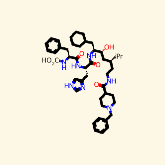 CC(C)[C@@H](CCNC(=O)C1CCN(Cc2ccccc2)CC1)C[C@@H](O)[C@H](CC1CCCCC1)NC(=O)[C@H](Cc1c[nH]cn1)NC(=O)[C@H](Cc1ccccc1)NC(=O)O